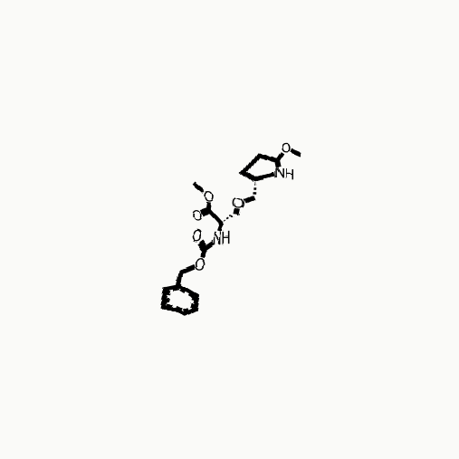 COC(=O)[C@H](COC[C@@H]1CCC(OC)N1)NC(=O)OCc1ccccc1